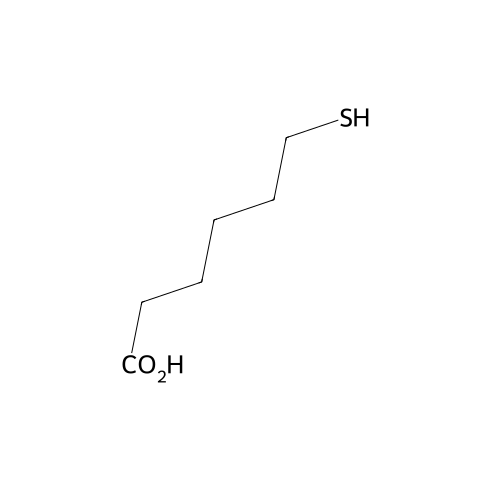 O=C(O)CCCCCS